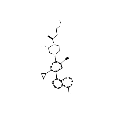 COCCC(=O)N1CCN(c2nc(C3CC3)c(-c3cccc4c(O)ncnc34)cc2C#N)C[C@H]1C